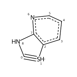 C1#[SH]c2cccnc2N1